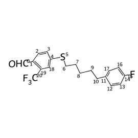 O=Cc1ccc(SCCCCCc2ccc(F)cc2)cc1C(F)(F)F